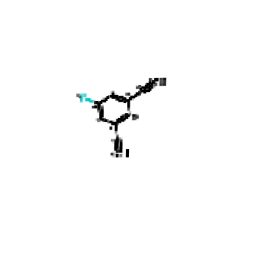 C#Cc1cc(F)cc(C#C)c1